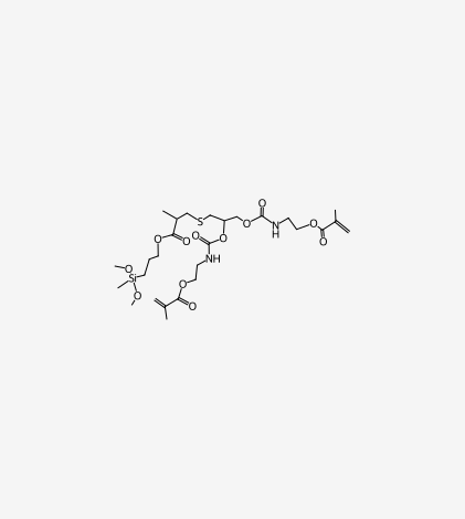 C=C(C)C(=O)OCCNC(=O)OCC(CSCC(C)C(=O)OCCC[Si](C)(OC)OC)OC(=O)NCCOC(=O)C(=C)C